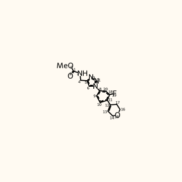 COC(=O)NCc1cn(-c2ccc(C3=CCOCC3)c(F)c2)nn1